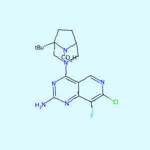 CC(C)(C)C12CCC(CN(c3nc(N)nc4c(F)c(Cl)ncc34)C1)N2C(=O)O